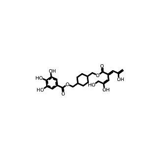 C=C(O)/C=C(\C=C(\O)CO)C(=O)OCC1CCC(COC(=O)c2cc(O)c(O)c(O)c2)CC1